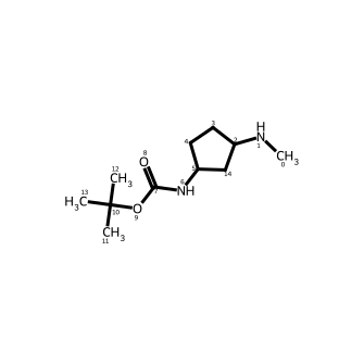 CNC1CCC(NC(=O)OC(C)(C)C)C1